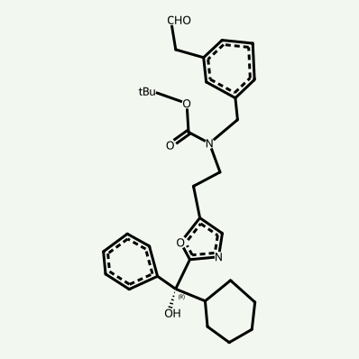 CC(C)(C)OC(=O)N(CCc1cnc([C@](O)(c2ccccc2)C2CCCCC2)o1)Cc1cccc(CC=O)c1